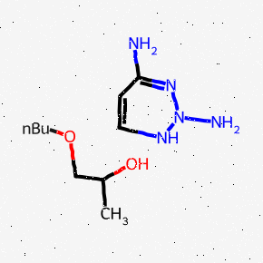 CCCCOCC(C)O.NC1=NN(N)NC=C1